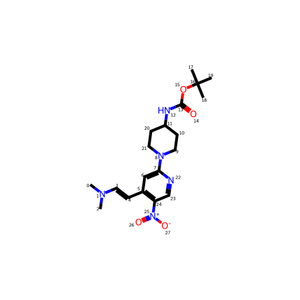 CN(C)/C=C/c1cc(N2CCC(NC(=O)OC(C)(C)C)CC2)ncc1[N+](=O)[O-]